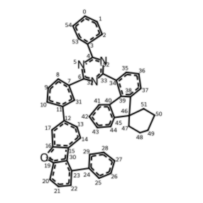 c1ccc(-c2nc(-c3cccc(-c4ccc5c(c4)oc4cccc(-c6ccccc6)c45)c3)nc(-c3cccc4c3-c3ccccc3C43CCCCC3)n2)cc1